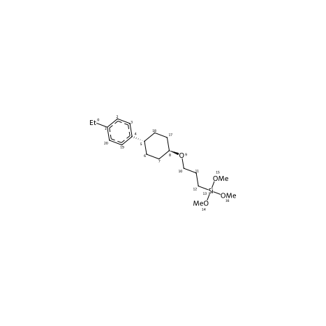 CCc1ccc([C@H]2CC[C@H](OCCC[Si](OC)(OC)OC)CC2)cc1